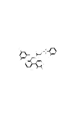 Cc1ccccc1S(=O)(=O)NCC(=O)N[C@@H](Cc1cc(F)cc(F)c1)c1ncccc1-c1ccnc(F)c1C